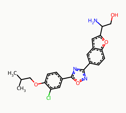 CC(C)COc1ccc(-c2nc(-c3ccc4oc(C(N)CO)cc4c3)no2)cc1Cl